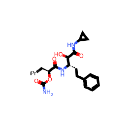 CC(C)C[C@H](OC(N)=O)C(=O)N[C@@H](CCc1ccccc1)C(O)C(=O)NC1CC1